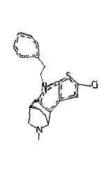 CN1CC2CCC1c1c2n(CCc2ccccc2)c2sc(Cl)cc12